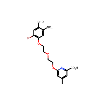 Cc1cc(OCCOCCOc2cc([N+](=O)[O-])c(C=O)cc2Br)nc(C(=O)O)c1